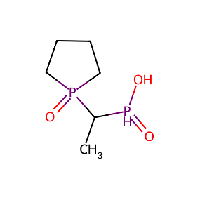 CC([PH](=O)O)P1(=O)CCCC1